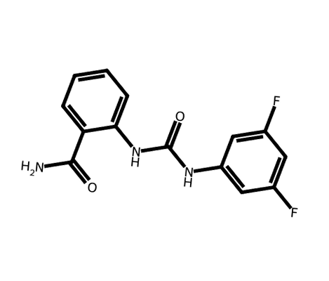 NC(=O)c1ccccc1NC(=O)Nc1cc(F)cc(F)c1